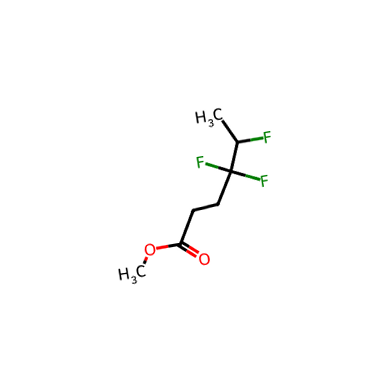 COC(=O)CCC(F)(F)C(C)F